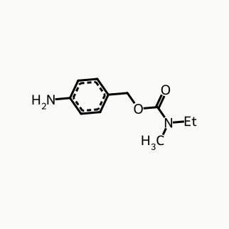 CCN(C)C(=O)OCc1ccc(N)cc1